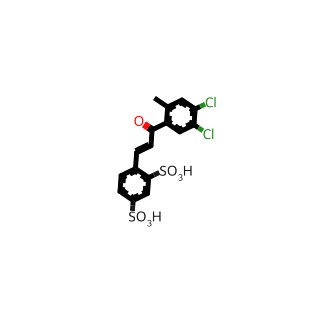 Cc1cc(Cl)c(Cl)cc1C(=O)C=Cc1ccc(S(=O)(=O)O)cc1S(=O)(=O)O